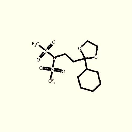 O=S(=O)(N(CCC1(C2CCCCC2)OCCO1)S(=O)(=O)C(F)(F)F)C(F)(F)F